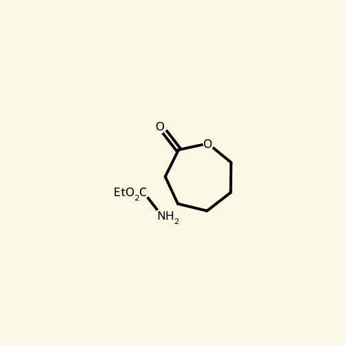 CCOC(N)=O.O=C1CCCCCO1